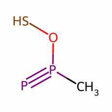 CP(#P)OS